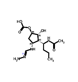 CCCC(NC(C)=O)[C@H]1[C@@H](O)[C@H](OC(=O)O)C[C@H]1N/C=N/N